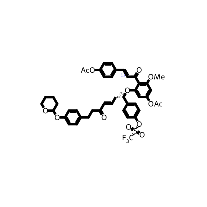 COc1cc(OC(C)=O)cc(O[C@@H](CC=CC(=O)CCc2ccc(OC3CCCCO3)cc2)c2ccc(OS(=O)(=O)C(F)(F)F)cc2)c1C(=O)/C=C/c1ccc(OC(C)=O)cc1